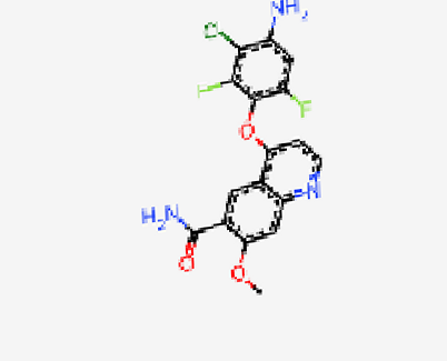 COc1cc2nccc(Oc3c(F)cc(N)c(Cl)c3F)c2cc1C(N)=O